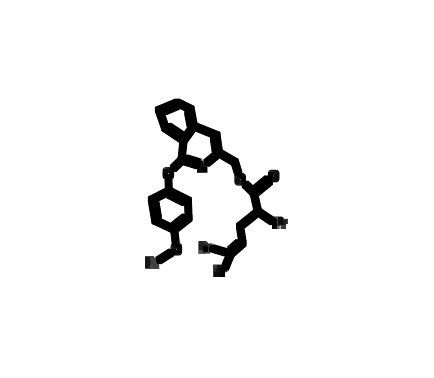 CCOc1ccc(Oc2nc(COC(=O)C(CC=C(Br)Br)C(C)C)cc3ccccc23)cc1